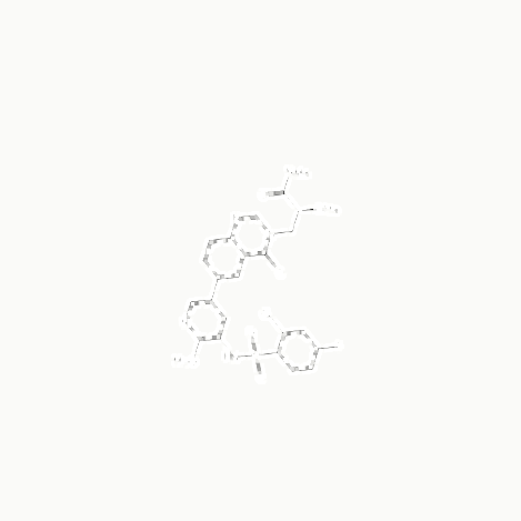 CNC(=O)[C@H](Cn1cnc2ccc(-c3cnc(OC)c(NS(=O)(=O)c4ccc(F)cc4Cl)c3)cc2c1=O)OC